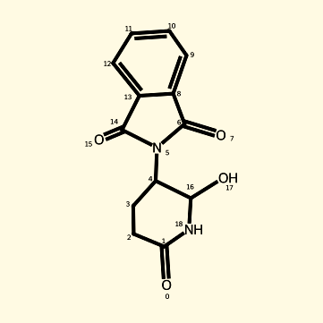 O=C1CCC(N2C(=O)c3ccccc3C2=O)C(O)N1